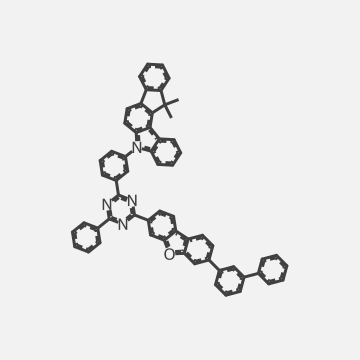 CC1(C)c2ccccc2-c2ccc3c(c21)c1ccccc1n3-c1cccc(-c2nc(-c3ccccc3)nc(-c3ccc4c(c3)oc3cc(-c5cccc(-c6ccccc6)c5)ccc34)n2)c1